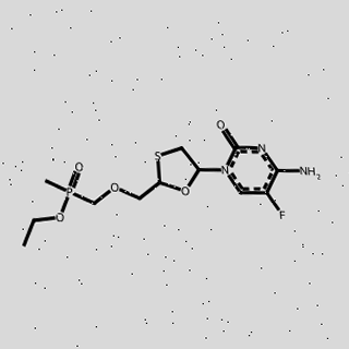 CCOP(C)(=O)COCC1OC(n2cc(F)c(N)nc2=O)CS1